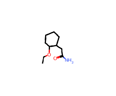 CCOC1CCCCC1CC(N)=O